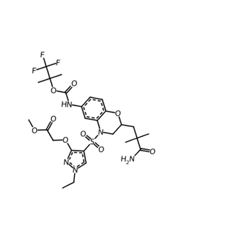 CCn1cc(S(=O)(=O)N2CC(CC(C)(C)C(N)=O)Oc3ccc(NC(=O)OC(C)(C)C(F)(F)F)cc32)c(OCC(=O)OC)n1